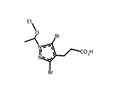 CCOC(C)n1nc(Br)c(CCC(=O)O)c1Br